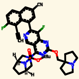 C#Cc1c(F)ccc2cc(C#N)cc(-c3ncc4c(N5C[C@H]6CC[C@@H](C5)N6C(=O)OC(C)(C)C)nc(OCC56CCCN5CCC6)nc4c3F)c12